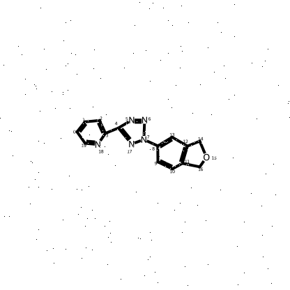 c1ccc(-c2nnn(-c3ccc4c(c3)COC4)n2)nc1